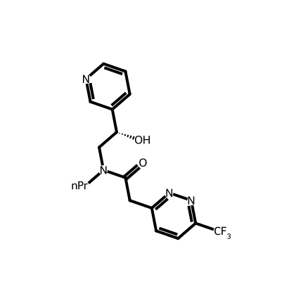 CCCN(C[C@@H](O)c1cccnc1)C(=O)Cc1ccc(C(F)(F)F)nn1